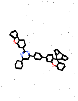 C1=CCCC(c2cc(-c3ccc(-c4ccc5c(c4)Oc4ccccc4C54c5ccccc5-c5ccccc54)cc3)nc(-c3ccc4c(c3)oc3ccccc34)n2)=C1